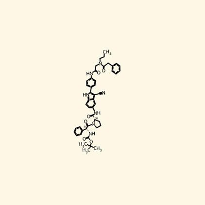 CCCN(CC(=O)Nc1ccc(-c2[nH]c3ccc(NC(=O)[C@@H]4CCCN4C(=O)[C@H](NC(=O)OC(C)(C)C)c4ccccc4)cc3c2C#N)cc1)C(=O)Cc1ccccc1